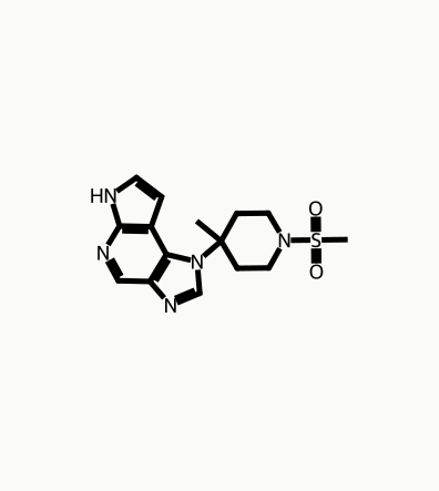 CC1(n2cnc3cnc4[nH]ccc4c32)CCN(S(C)(=O)=O)CC1